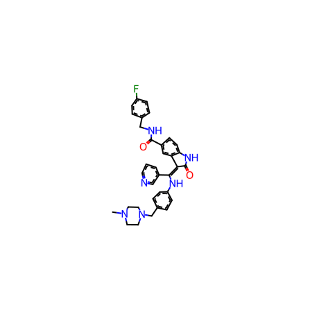 CN1CCN(Cc2ccc(N/C(=C3\C(=O)Nc4ccc(C(=O)NCc5ccc(F)cc5)cc43)c3cccnc3)cc2)CC1